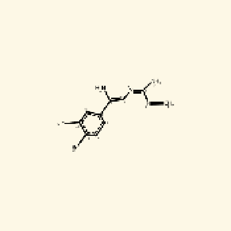 C=N/C(N)=N\C=C(/N)c1ccc(Br)c(F)c1